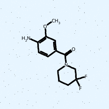 COc1cc(C(=O)N2CCCC(F)(F)C2)ccc1N